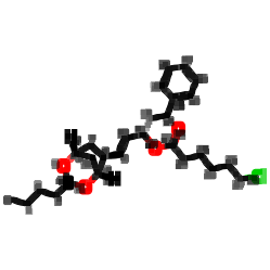 CCCCB1O[C@@H]2C[C@@H](/C=C/[C@H](CCc3ccccc3)OC(=O)CCCCCCl)[C@@H](C2)O1